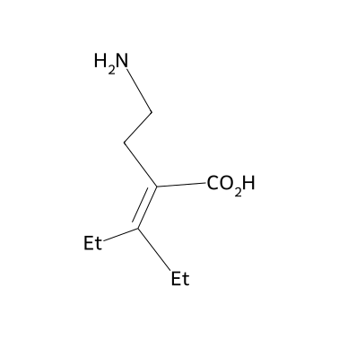 CCC(CC)=C(CCN)C(=O)O